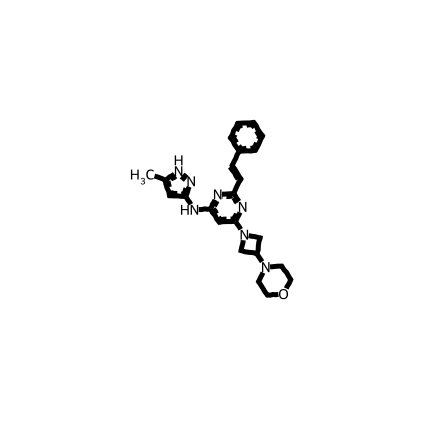 Cc1cc(Nc2cc(N3CC(N4CCOCC4)C3)nc(/C=C/c3ccccc3)n2)n[nH]1